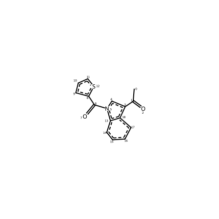 CC(=O)c1cn(C(=O)c2cccs2)c2ccccc12